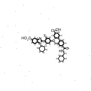 Cl.O=C(O)c1ccc2c(c1)nc(-c1ccc(OCc3cc(C(=O)NCC4CCCCC4)ccc3-c3ccc(Cl)cc3)cc1F)n2C1CCCCC1